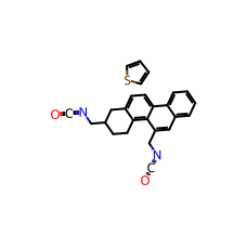 O=C=NCc1cc2ccccc2c2ccc3c(c12)CCC(CN=C=O)C3.c1ccsc1